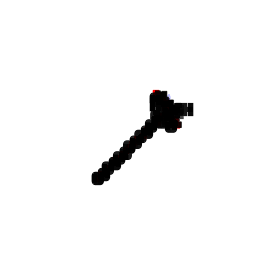 C=CC1=C(C)/C(=C/c2[nH]c(Cc3[nH]c(/C=C4\NC(=O)C(C=C)=C4C)c(C)c3CCC(=O)NCCOCCOCCOCCOCCOCCOCCOCCOCCOCCOCCOC)c(CCC(=O)O)c2C)NC1=O